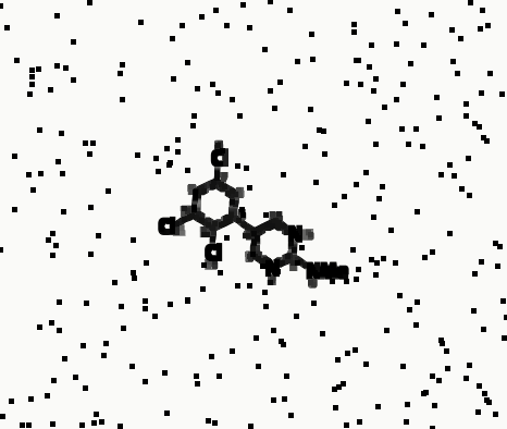 CNc1ncc(-c2cc(Cl)cc(Cl)c2Cl)cn1